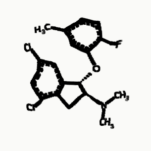 Cc1ccc(F)c(O[C@H]2c3cc(Cl)cc(Cl)c3C[C@@H]2N(C)C)c1